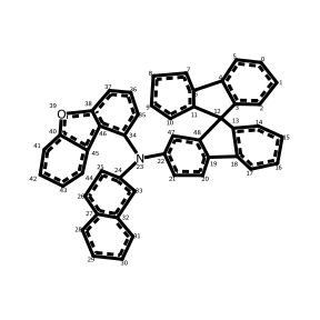 c1ccc2c(c1)-c1ccccc1C21c2ccccc2-c2ccc(N(c3ccc4ccccc4c3)c3cccc4oc5ccccc5c34)cc21